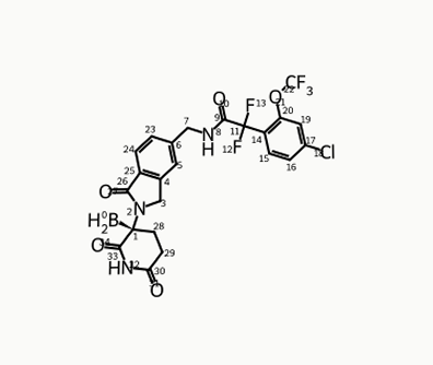 B[C@@]1(N2Cc3cc(CNC(=O)C(F)(F)c4ccc(Cl)cc4OC(F)(F)F)ccc3C2=O)CCC(=O)NC1=O